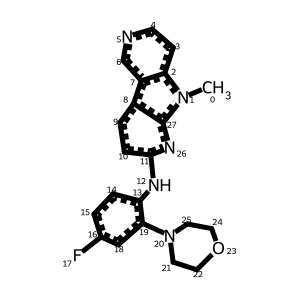 Cn1c2ccncc2c2ccc(Nc3ccc(F)cc3N3CCOCC3)nc21